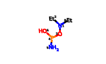 CCN(CC)OP(N)O